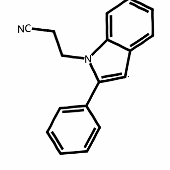 N#CCCn1c(-c2ccccc2)[c]c2ccccc21